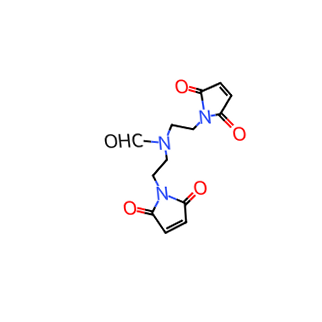 O=CN(CCN1C(=O)C=CC1=O)CCN1C(=O)C=CC1=O